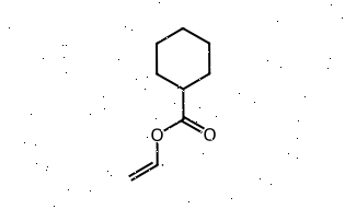 C=[C]OC(=O)C1CCCCC1